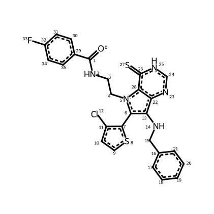 O=C(NCCn1c(-c2sccc2Cl)c(NCc2ccccc2)c2nc[nH]c(=S)c21)c1ccc(F)cc1